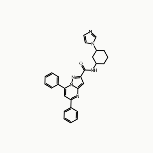 O=C(NC1CCCC(n2ccnc2)C1)c1cc2nc(-c3ccccc3)cc(-c3ccccc3)n2n1